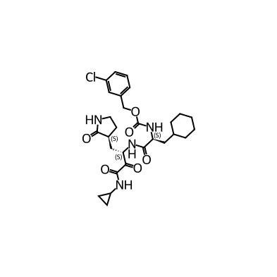 O=C(N[C@@H](CC1CCCCC1)C(=O)N[C@@H](C[C@@H]1CCNC1=O)C(=O)C(=O)NC1CC1)OCc1cccc(Cl)c1